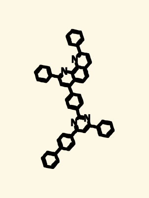 c1ccc(-c2ccc(-c3cc(-c4ccccc4)nc(-c4ccc(-c5cc(-c6ccccc6)nc6c5ccc5ccc(-c7ccccc7)nc56)cc4)n3)cc2)cc1